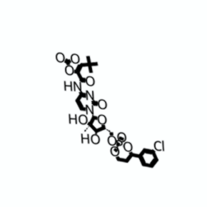 CC(C)(C)c1oc(=O)oc1C(=O)Nc1ccn([C@@H]2O[C@H](COP3(=O)OCCC(c4cccc(Cl)c4)O3)[C@@H](O)[C@@]2(C)O)c(=O)n1